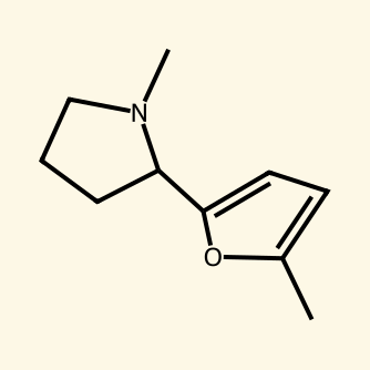 Cc1ccc(C2CCCN2C)o1